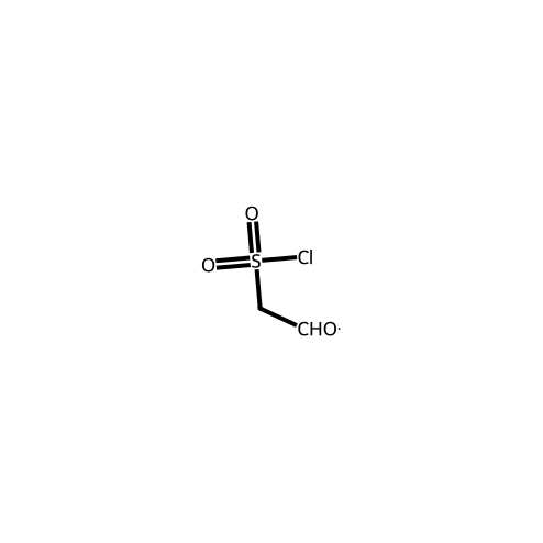 O=[C]CS(=O)(=O)Cl